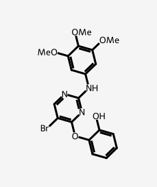 COc1cc(Nc2ncc(Br)c(Oc3ccccc3O)n2)cc(OC)c1OC